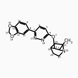 CC1C(Oc2ccc(-c3ccc4c(c3)OCO4)nn2)C2CCN1CC2